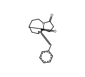 O=C1CCC23C(=O)/C(=C/c4ccccc4)CC2CCCCN13